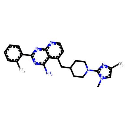 Cn1cc(C(F)(F)F)nc1N1CCC(Cc2ccnc3nc(-c4ccccc4C(F)(F)F)nc(N)c23)CC1